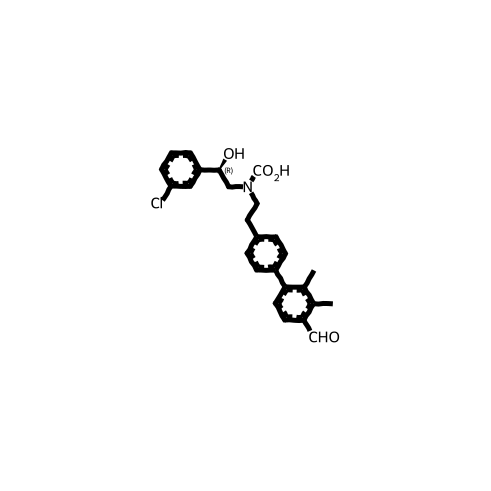 Cc1c(C=O)ccc(-c2ccc(CCN(C[C@H](O)c3cccc(Cl)c3)C(=O)O)cc2)c1C